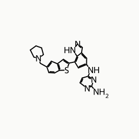 Nc1nccc(Nc2cc(-c3cc4cc(CN5CCCCC5)ccc4s3)c3[nH]ncc3c2)n1